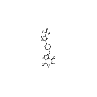 COC(=O)c1ncn(Cc2ccc(-c3noc(C(F)(F)F)n3)cc2)c1C(=O)OC